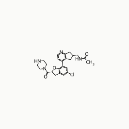 CC(=O)NCC1Cc2nccc(-c3cc(Cl)cc4c3OC(C(=O)N3CCNCC3)C4)c2C1